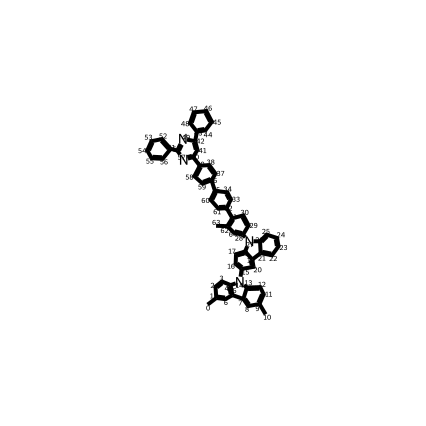 Cc1ccc2c(c1)c1cc(C)ccc1n2-c1ccc2c(c1)c1ccccc1n2-c1ccc(-c2ccc(-c3ccc(-c4cc(-c5ccccc5)nc(-c5ccccc5)n4)cc3)cc2)c(C)c1